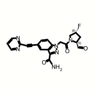 NC(=O)c1nn(CC(=O)N2C[C@H](F)C[C@H]2C=O)c2ccc(C#Cc3ncccn3)cc12